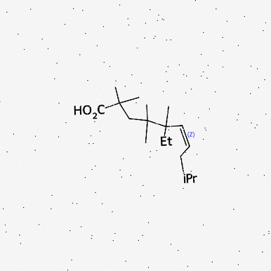 CCC(C)(/C=C\CC(C)C)C(C)(C)CC(C)(C)C(=O)O